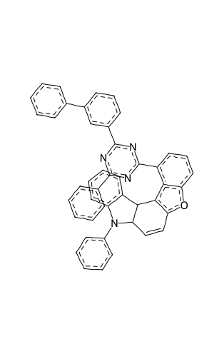 C1=CC2C(c3ccccc3N2c2ccccc2)c2c1oc1cccc(-c3nc(-c4ccccc4)nc(-c4cccc(-c5ccccc5)c4)n3)c21